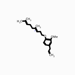 C=CCc1ccc(OCC/C=C(\C)CCC=C(C)C)c(OC)c1